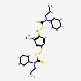 CCCN(C(=S)SSc1ccc(SSC(=S)N(CCC)C2CCCCC2)c(C)c1)C1CCCCC1